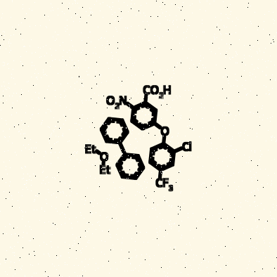 CCOCC.O=C(O)c1cc(Oc2ccc(C(F)(F)F)cc2Cl)ccc1[N+](=O)[O-].c1ccc(-c2ccccc2)cc1